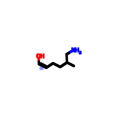 CC(CN)CC/C=C\O